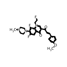 COc1ccc(/C=C/C(=O)c2cn(CCF)c3c(F)c(N4CCN(C)CC4)c(F)cc3c2=O)cc1